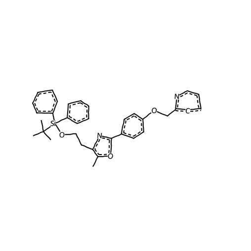 Cc1oc(-c2ccc(OCc3ccccn3)cc2)nc1CCO[Si](c1ccccc1)(c1ccccc1)C(C)(C)C